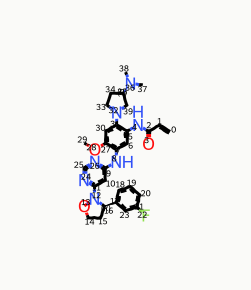 C=CC(=O)Nc1cc(Nc2cc(N3OCC[C@@H]3c3cccc(F)c3)ncn2)c(OC)cc1N1CC[C@@H](N(C)C)C1